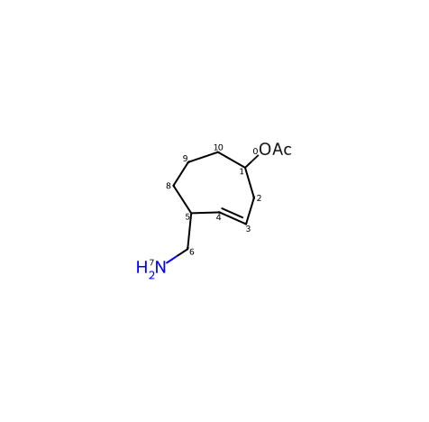 CC(=O)OC1C/C=C/C(CN)CCC1